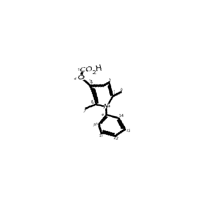 Cc1cc(OC(=O)O)c(C)n1-c1ccccc1